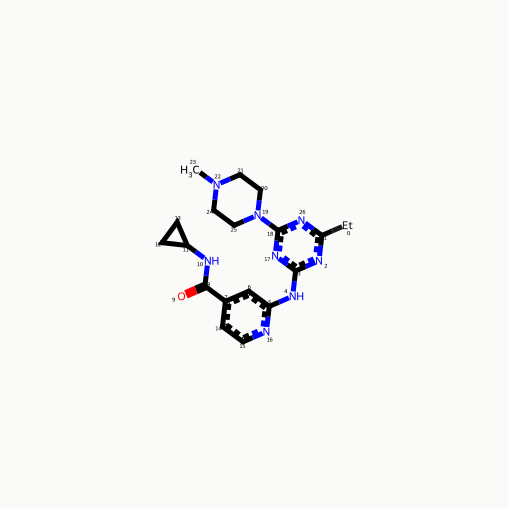 CCc1nc(Nc2cc(C(=O)NC3CC3)ccn2)nc(N2CCN(C)CC2)n1